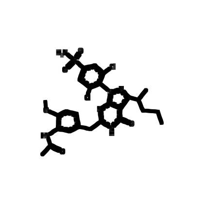 CCCC(C)c1nn(-c2c(Cl)cc(S(N)(=O)=O)cc2Cl)c2nc(Cc3ccc(OC)c(NC(C)=O)c3)[nH]c(=O)c12